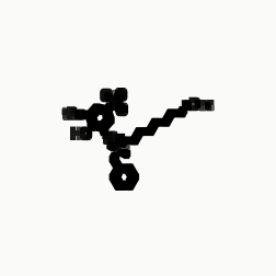 CC(C)(C)c1cc(S(=O)(=O)[O-])cc(C(C)(C)C)c1O.CCCCCCCCCCCCCCCCCC[N+](C)(C)Cc1ccccc1